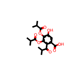 CC(C)C(=O)Oc1c(O)cc(C(=O)O)c(C(=O)C(C)C)c1OC(=O)C(C)C